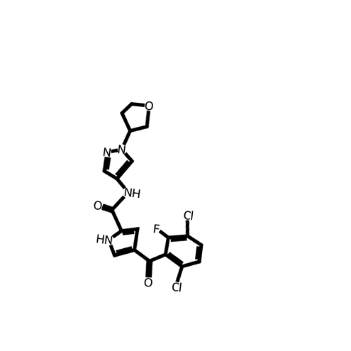 O=C(Nc1cnn(C2CCOC2)c1)c1cc(C(=O)c2c(Cl)ccc(Cl)c2F)c[nH]1